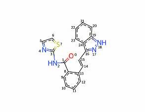 O=C(Nc1nccs1)c1ccccc1/C=C/c1n[nH]c2ccccc12